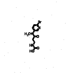 CN(C(=O)CCNC(=O)O)c1ccc(Br)nc1